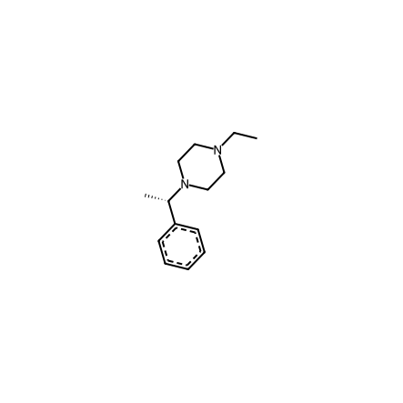 CCN1CCN([C@@H](C)c2ccccc2)CC1